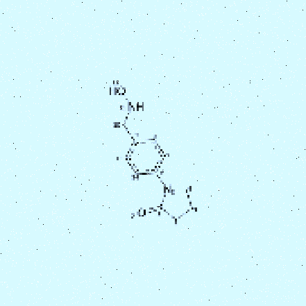 O=C1CCCN1c1ccc(CNO)cc1